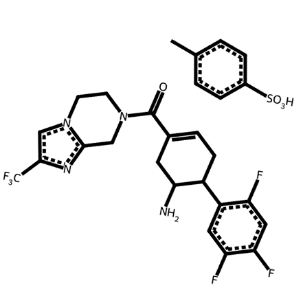 Cc1ccc(S(=O)(=O)O)cc1.NC1CC(C(=O)N2CCn3cc(C(F)(F)F)nc3C2)=CCC1c1cc(F)c(F)cc1F